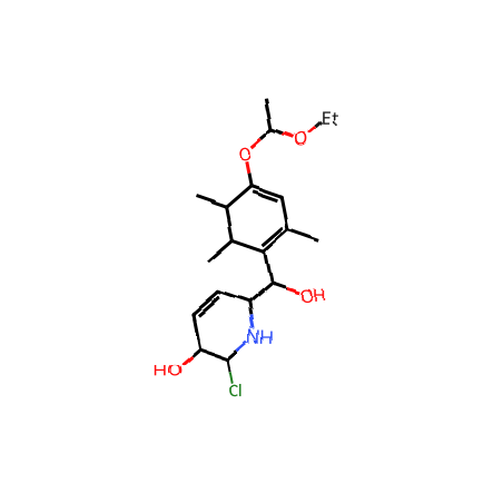 CCOC(C)OC1=CC(C)=C(C(O)C2C=CC(O)C(Cl)N2)C(C)C1C